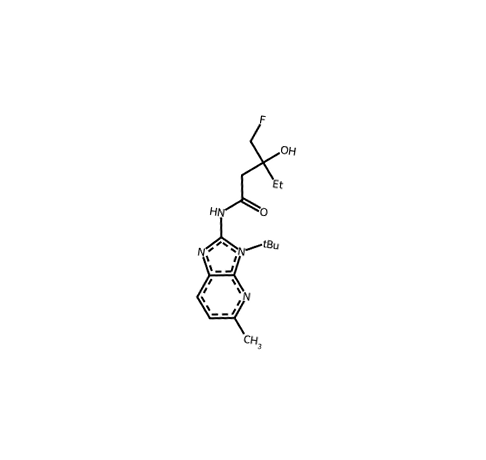 CCC(O)(CF)CC(=O)Nc1nc2ccc(C)nc2n1C(C)(C)C